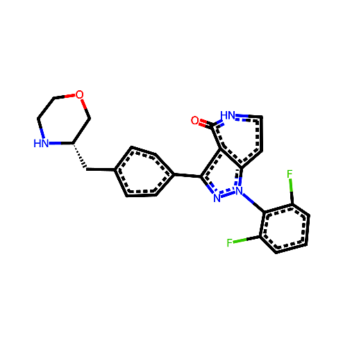 O=c1[nH]ccc2c1c(-c1ccc(C[C@H]3COCCN3)cc1)nn2-c1c(F)cccc1F